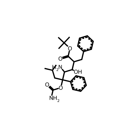 CC(C)CC(OC(N)=O)(c1ccccc1)C(N)C(O)C(Cc1ccccc1)C(=O)OC(C)(C)C